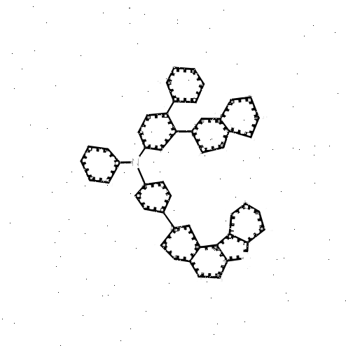 c1ccc(-c2ccc(N(c3ccccc3)c3ccc(-c4ccc5ccc6oc7ccccc7c6c5c4)cc3)cc2-c2ccc3ccccc3c2)cc1